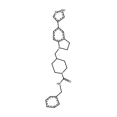 O=C(NCc1ccccc1)N1CCC(CN2CCc3cc(-c4cn[nH]c4)ccc32)CC1